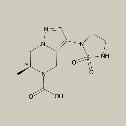 C[C@H]1Cn2ncc(N3CCNS3(=O)=O)c2CN1C(=O)O